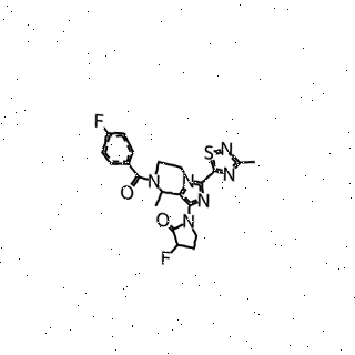 Cc1nsc(-c2nc(N3CCC(F)C3=O)c3n2CCN(C(=O)c2ccc(F)cc2)C3C)n1